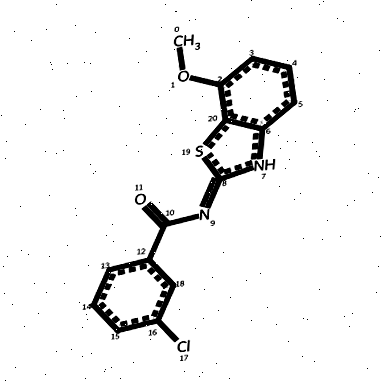 COc1cccc2[nH]/c(=N/C(=O)c3cccc(Cl)c3)sc12